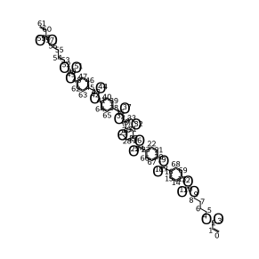 C=CC(=O)OCCCCOC(=O)Oc1ccc(C(=O)Oc2ccc(C(=O)O[C@H]3COC4C3OC[C@@H]4OC(=O)c3ccc(OC(=O)c4ccc(OC(=O)OCCCCOC(=O)C=C)cc4)cc3)cc2)cc1